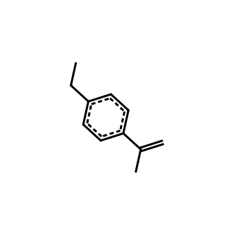 C=C(C)c1ccc(CC)cc1